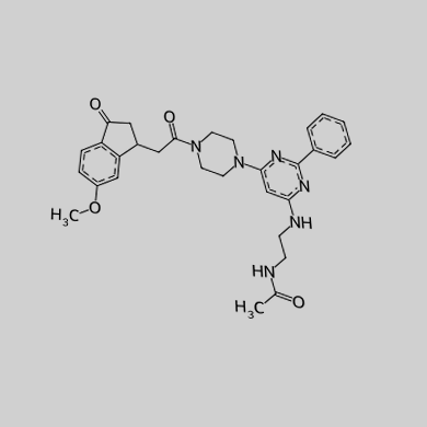 COc1ccc2c(c1)C(CC(=O)N1CCN(c3cc(NCCNC(C)=O)nc(-c4ccccc4)n3)CC1)CC2=O